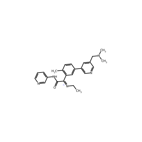 CC/N=C(/C(=O)Nc1cccnc1)c1cc(-c2cncc(CN(C)C)c2)ccc1C